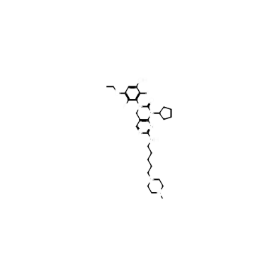 CCOc1cc(O)c(F)c(N2Cc3cnc(NCCCCCN4CCN(C)CC4)nc3N(C3CCCC3)C2=O)c1F